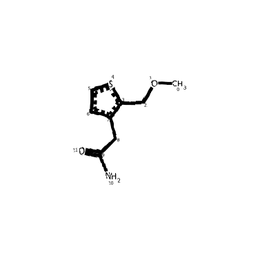 COCc1sccc1CC(N)=O